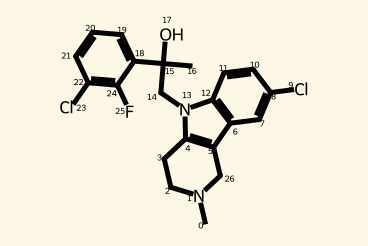 CN1CCc2c(c3cc(Cl)ccc3n2CC(C)(O)c2cccc(Cl)c2F)C1